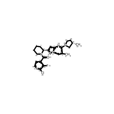 Cc1cn2nc([C@@H]3CCCCN3C(=O)c3ccnc(Cl)c3F)cc2nc1N1CC[C@H](C)C1